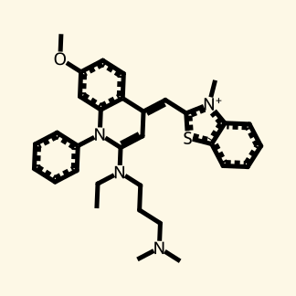 CCN(CCCN(C)C)C1=C/C(=C\c2sc3ccccc3[n+]2C)c2ccc(OC)cc2N1c1ccccc1